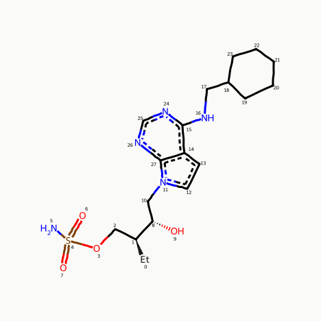 CC[C@@H](COS(N)(=O)=O)[C@@H](O)Cn1ccc2c(NCC3CCCCC3)ncnc21